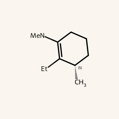 CCC1=C(NC)CCC[C@@H]1C